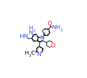 Cc1cc(-c2c(C3CCOCC3)n(-c3ccc(C(N)=O)cc3)c3cc(N)c(C=N)cc23)ccn1